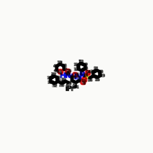 CC(C)C[C@@H](C(=O)NN(c1ccccc1)S(=O)(=O)Cc1ccccc1)[C@H](CC=Cc1ccccc1)C(=O)NOC1CCCCO1